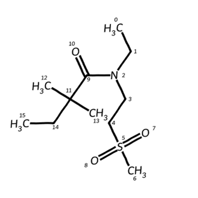 CCN(CCS(C)(=O)=O)C(=O)C(C)(C)CC